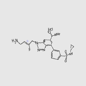 CNC(=O)c1cc(-c2cccc(S(=O)(=O)NC3CC3)c2)c2nnn(C/C(F)=C/CN)c2c1.Cl